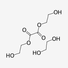 O=C(OCCO)C(=O)OCCO.OCCO